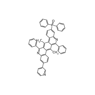 Cc1c2c(-c3ccccc3)nc3cc(P(=O)(c4ccccc4)c4ccccc4)ccc3c2c(C)c2c(-c3ccccc3)nc3cc(-c4cccnc4)ccc3c12